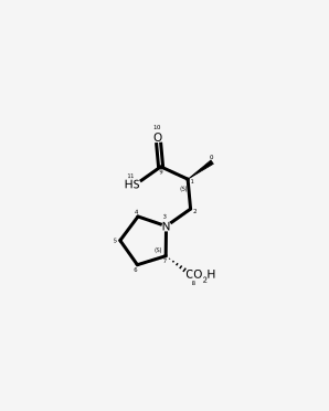 C[C@@H](CN1CCC[C@H]1C(=O)O)C(=O)S